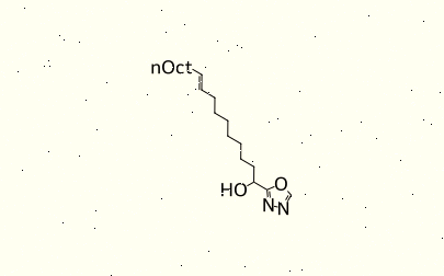 CCCCCCCCC=CCCCCCCCC(O)c1nnco1